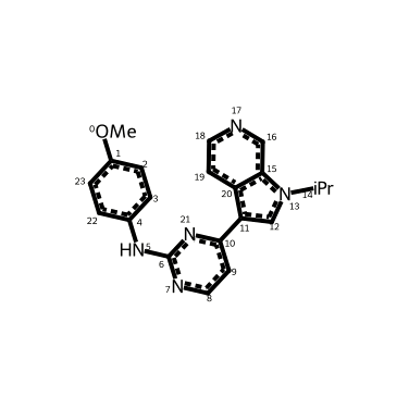 COc1ccc(Nc2nccc(-c3cn(C(C)C)c4cnccc34)n2)cc1